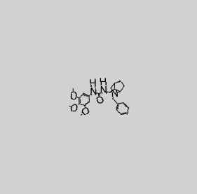 COc1cc(NC(=O)NCC2C3CCC2N(Cc2ccccc2)C3)cc(OC)c1OC